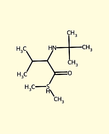 CC(C)C(NC(C)(C)C)C(=O)[SH](C)C